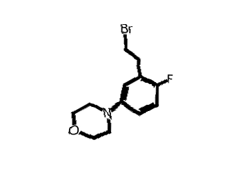 Fc1ccc(N2CCOCC2)cc1CCBr